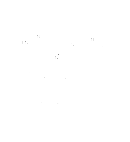 Cc1ccc(N2CCC[C@H](N(Cc3ccnc(N)c3)Cc3cn(C4CC4)c4cc(N)c(F)cc4c3=O)C2)cn1